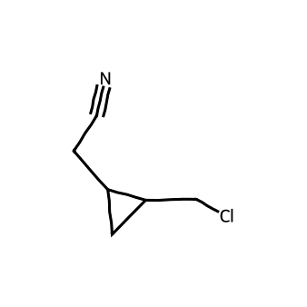 N#CCC1CC1CCl